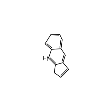 C1=Cc2cc3ccccc3cc2C1.[Hf]